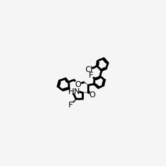 O=C([C@@H]1C[C@@H](F)CN1)[C@H](COCc1ccccc1)c1cccc(-c2ccccc2Cl)c1F